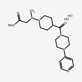 COC(=O)CN(C)N1CCC(C(=O)N2CCN(c3ccncc3)CC2)CC1.Cl.Cl